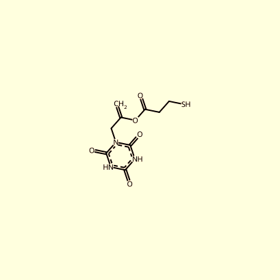 C=C(Cn1c(=O)[nH]c(=O)[nH]c1=O)OC(=O)CCS